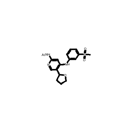 CC(=O)Nc1cc(Nc2cccc(S(C)(=O)=O)c2)c(C2CCCO2)cn1